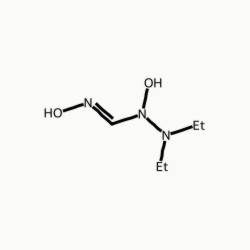 CCN(CC)N(O)/C=N/O